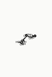 CC1(C)C(=O)[C@H](CCCCC(=O)OC2O[C@H](CO)[C@@H](O)[C@H](O)[C@H]2O)[C@@H](/C=C/C(O)CCc2sc3ccccc3c2Cl)[C@@H]1O